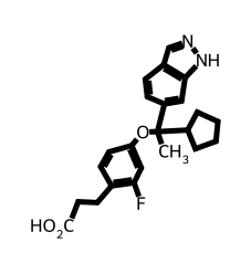 CC(Oc1ccc(CCC(=O)O)c(F)c1)(c1ccc2cn[nH]c2c1)C1CCCC1